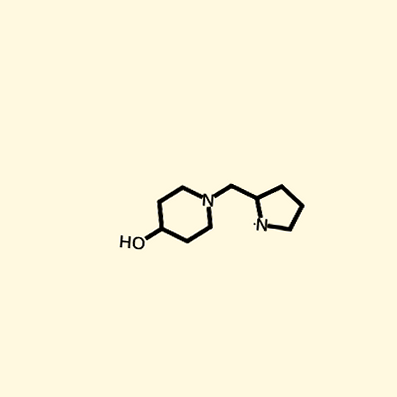 OC1CCN(CC2CCC[N]2)CC1